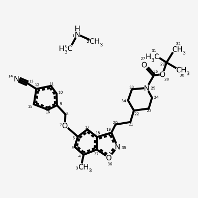 CNC.Cc1cc(OCc2ccc(C#N)cc2)cc2c(CCC3CCN(C(=O)OC(C)(C)C)CC3)noc12